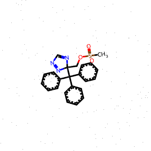 CS(=O)(=O)OCC1(C(c2ccccc2)(c2ccccc2)c2ccccc2)N=CN=N1